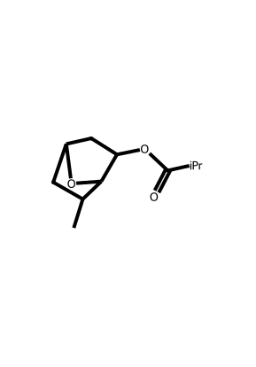 CC(C)C(=O)OC1CC2CC(C)C1O2